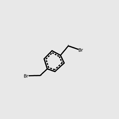 Br[CH]c1ccc([CH]Br)cc1